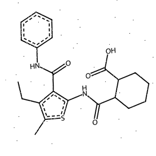 CCc1c(C)sc(NC(=O)C2CCCCC2C(=O)O)c1C(=O)Nc1ccccc1